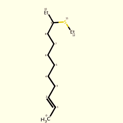 CC=CCCCCCCC(CC)SCC